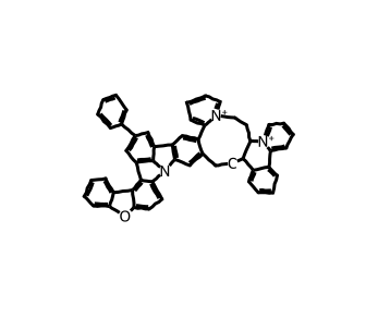 c1ccc(-c2cc3c4cc5c(cc4n4c6ccc7oc8ccccc8c7c6c(c2)c34)CCC2c3ccccc3-c3cccc[n+]3C2CC[n+]2ccccc2-5)cc1